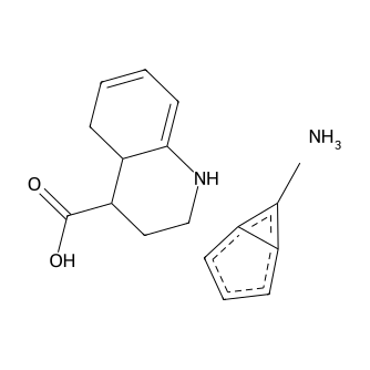 Cc1c2cccc1-2.N.O=C(O)C1CCNC2=CC=CCC21